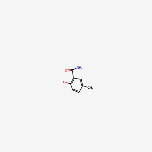 Cc1ccc([O])c(C(N)=O)c1